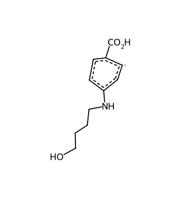 O=C(O)c1[c]cc(NCCCCO)cc1